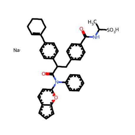 CC(NC(=O)c1ccc(CC(C(=O)N(c2ccccc2)c2ccc3cccc-3o2)c2ccc(C3=CCCCC3)cc2)cc1)S(=O)(=O)O.[Na]